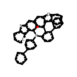 c1ccc(-c2ccc(N(c3cccc(-c4ccccc4)c3-c3cccc4oc5ccccc5c34)c3cccc4sc5ccccc5c34)cc2)cc1